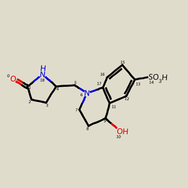 O=C1CCC(CN2CCC(O)c3cc(S(=O)(=O)O)ccc32)N1